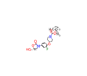 CC(C)(C)OC(=O)N1CCC(Oc2ccc(N3C[C@H](CO)OC3=O)cc2F)CC1